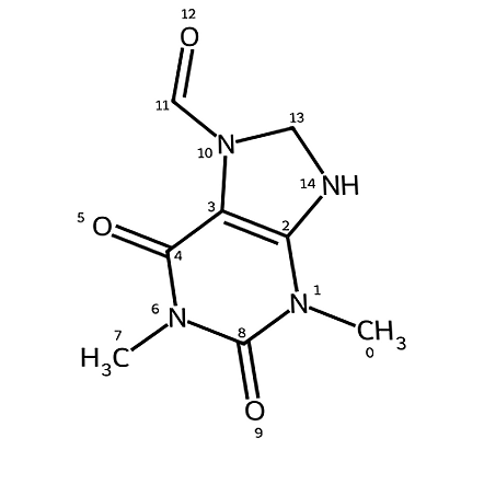 Cn1c2c(c(=O)n(C)c1=O)N(C=O)CN2